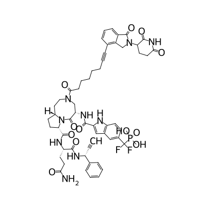 C#C[C@@H](NC(=O)[C@H](CCC(N)=O)NC(=O)[C@@H]1CC[C@@H]2CCN(C(=O)CCCCCC#Cc3cccc4c3CN(C3CCC(=O)NC3=O)C4=O)C[C@H](NC(=O)c3cc4cc(C(F)(F)P(=O)(O)O)ccc4[nH]3)C(=O)N21)c1ccccc1